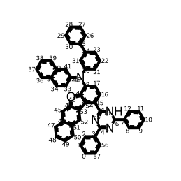 c1ccc(C2=NC(c3ccccc3)NC(c3ccc(N(c4cccc(-c5ccccc5)c4)c4ccc5ccccc5c4)c4oc5cc6ccccc6cc5c34)=N2)cc1